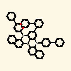 c1ccc(-c2ccc(N3c4cc(-c5ccccc5-c5ccccc5)cc5c4B(c4ccc6ccccc6c43)c3ccc4ccccc4c3N5c3ccc(-c4ccccc4)cc3)cc2)cc1